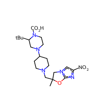 CC1(CN2CCC(N3CCN(C(=O)O)C(C(C)(C)C)C3)CC2)Cn2cc([N+](=O)[O-])nc2O1